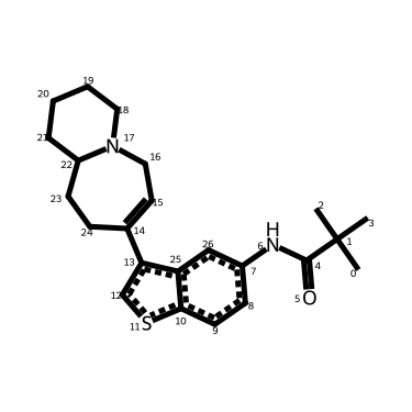 CC(C)(C)C(=O)Nc1ccc2scc(C3=CCN4CCCCC4CC3)c2c1